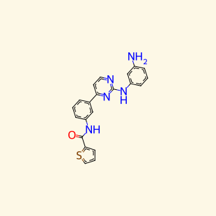 Nc1cccc(Nc2nccc(-c3cccc(NC(=O)c4cccs4)c3)n2)c1